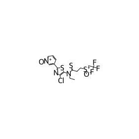 CCN(C(=S)CC[S+]([O-])CC(F)(F)F)c1sc(-c2ccc[n+]([O-])c2)nc1Cl